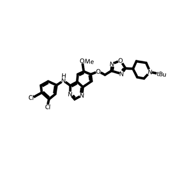 COc1cc2c(Nc3ccc(Cl)c(Cl)c3)ncnc2cc1OCc1noc(C2CCN(C(C)(C)C)CC2)n1